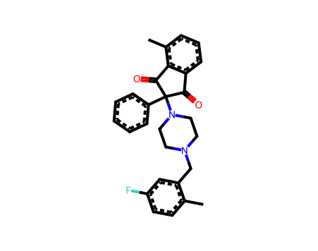 Cc1ccc(F)cc1CN1CCN(C2(c3ccccc3)C(=O)c3cccc(C)c3C2=O)CC1